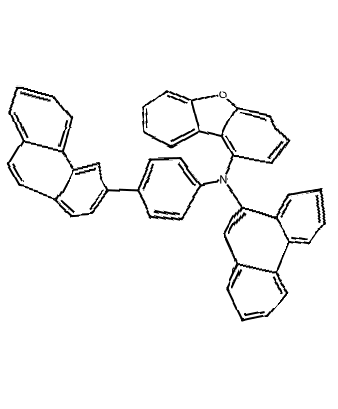 c1ccc2c(c1)ccc1ccc(-c3ccc(N(c4cc5ccccc5c5ccccc45)c4cccc5oc6ccccc6c45)cc3)cc12